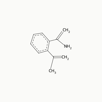 C=C(C)c1ccccc1C(=C)N